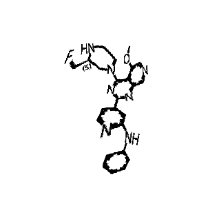 COc1cncc2nc(-c3ccnc(Nc4ccccc4)c3)nc(N3CCN[C@H](CF)C3)c12